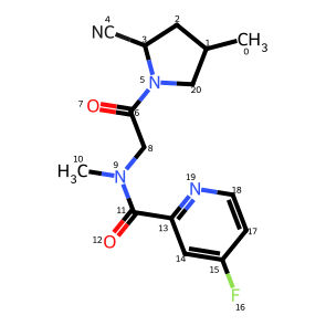 CC1CC(C#N)N(C(=O)CN(C)C(=O)c2cc(F)ccn2)C1